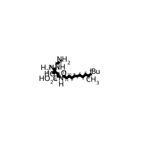 CCC(C)CC(C)CCCCCCCCC(=O)N[C@@H](CC(O)[C@@H](N)NCCN)C(=O)O